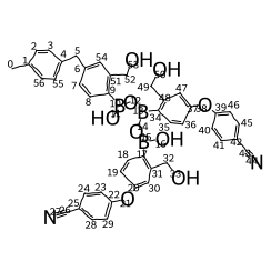 Cc1ccc(Cc2ccc(B(O)OB(OB(O)c3ccc(Oc4ccc(C#N)cc4)cc3CO)c3ccc(Oc4ccc(C#N)cc4)cc3CO)c(CO)c2)cc1